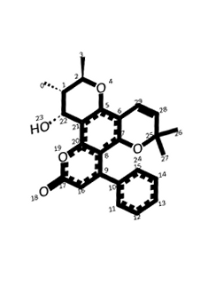 C[C@@H]1[C@@H](C)Oc2c3c(c4c(-c5ccccc5)cc(=O)oc4c2[C@@H]1O)OC(C)(C)C=C3